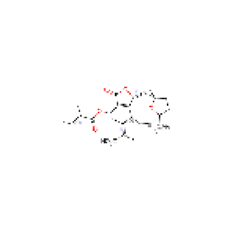 C/C=C(\C)C(=O)OCC1=C2/C(=C\C3(C)CCC(OC)(O3)[C@H](C)C[C@H]2/C(C)=C(\C)C(=O)O)OC1=O